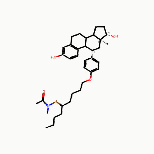 CCCCC(CCCCOc1ccc([C@H]2C[C@@]3(C)C(CC[C@@H]3O)C3CCc4cc(O)ccc4C32)cc1)SN(C)C(C)=O